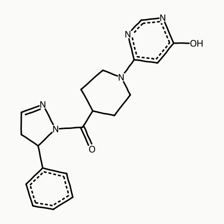 O=C(C1CCN(c2cc(O)ncn2)CC1)N1N=CCC1c1ccccc1